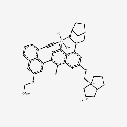 COCOc1cc(-c2nc(C)c3c(N4CC5CCC(C5)C4)nc(OC[C@@]45CCCN4C[C@H](F)C5)nc3c2F)c2c(C#C[Si](C(C)C)(C(C)C)C(C)C)cccc2c1